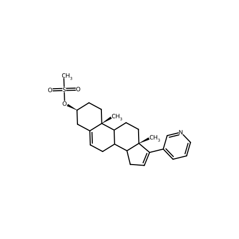 C[C@]12CC[C@H](OS(C)(=O)=O)CC1=CCC1C2CC[C@]2(C)C(c3cccnc3)=CCC12